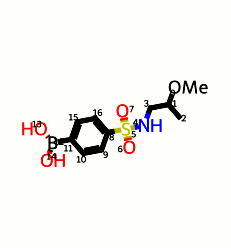 COC(C)CNS(=O)(=O)c1ccc(B(O)O)cc1